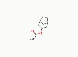 C=CC(=O)OC1CC2CCC(C2)C1